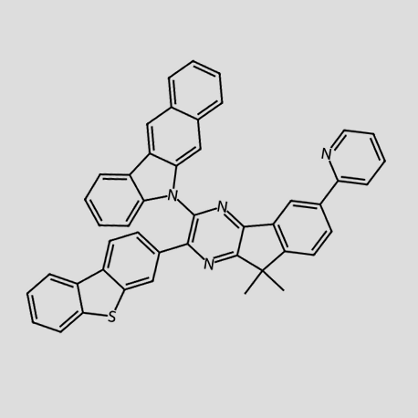 CC1(C)c2ccc(-c3ccccn3)cc2-c2nc(-n3c4ccccc4c4cc5ccccc5cc43)c(-c3ccc4c(c3)sc3ccccc34)nc21